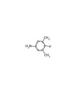 Cc1cc(N)cc(C)c1F